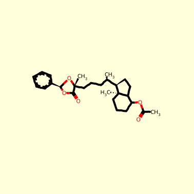 CC(=O)OC1CCC[C@]2(C)C1CC[C@@H]2[C@H](C)CCC[C@@]1(C)O[C@H](c2ccccc2)OC1=O